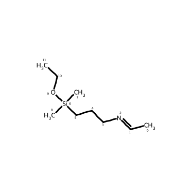 CC=NCCC[Si](C)(C)OCC